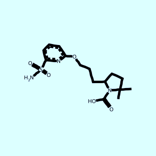 CC1(C)CCC(CCCOc2cccc(S(N)(=O)=O)n2)N1C(=O)O